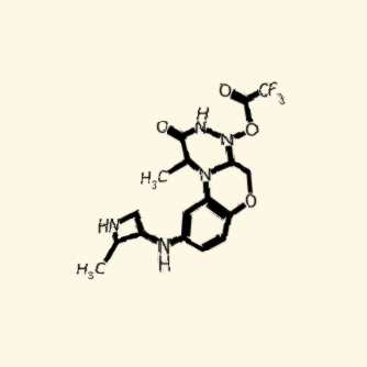 CC1NCC1Nc1ccc2c(c1)N1C(C)C(=O)NN(OC(=O)C(F)(F)F)C1CO2